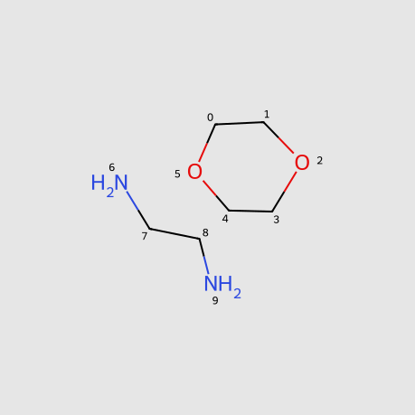 C1COCCO1.NCCN